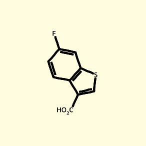 O=C(O)c1csc2cc(F)ccc12